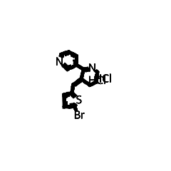 Brc1ccc(C=C2CCCN=C2c2cccnc2)s1.Cl.Cl